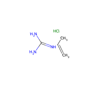 C=CC.Cl.N=C(N)N